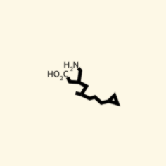 CC(CCCC1CC1)CC(CN)CC(=O)O